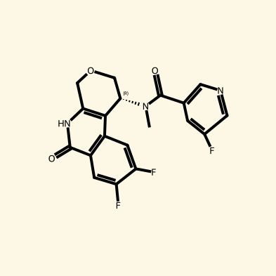 CN(C(=O)c1cncc(F)c1)[C@H]1COCc2[nH]c(=O)c3cc(F)c(F)cc3c21